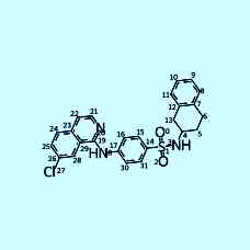 O=S(=O)(NC1CCc2ccccc2C1)c1ccc(Nc2nccc3ccc(Cl)cc23)cc1